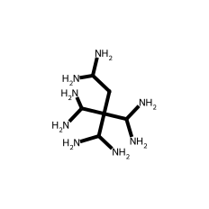 NC(N)CC(C(N)N)(C(N)N)C(N)N